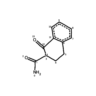 NC(=O)N1CCc2ccccc2C1=O